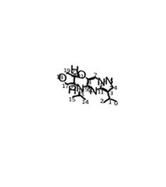 CC(C)c1cnn2cc3c(nc12)N(C(C)C)[C@H]1COC[C@H]1O3